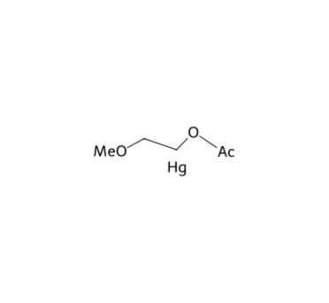 COCCOC(C)=O.[Hg]